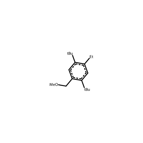 CCc1cc(C(C)(C)C)c(COC)cc1C(C)(C)C